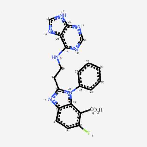 O=C(O)c1c(F)ccc2nc(CCNc3ncnc4[nH]cnc34)n(-c3ccccc3)c12